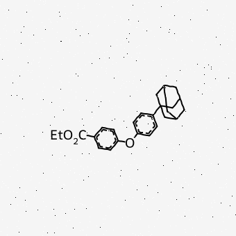 CCOC(=O)c1ccc(Oc2ccc(C34CC5CC(CC(C5)C3)C4)cc2)cc1